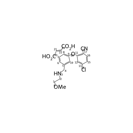 COCCNCc1cccc(Oc2cc(Cl)ccc2C#N)c1.O=C(O)/C=C/C(=O)O